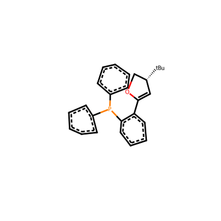 CC(C)(C)[C@@H]1C=C(c2ccccc2P(c2ccccc2)c2ccccc2)OC1